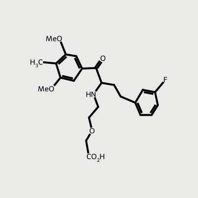 COc1cc(C(=O)C(CCc2cccc(F)c2)NCCOCC(=O)O)cc(OC)c1C